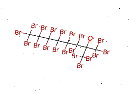 [O]C(C(Br)(Br)Br)(C(Br)(Br)Br)C(Br)(Br)C(Br)(Br)C(Br)(Br)C(Br)(Br)C(Br)(Br)C(Br)(Br)Br